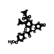 COc1cnc(NC(=O)[C@H](C[C@H]2CCC(=O)C2)c2ccc(S(=O)(=O)C3CC3)c(C3CC3)c2)cn1